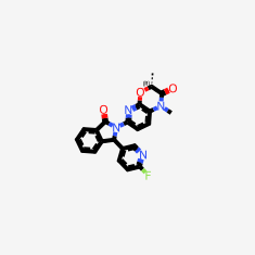 C[C@H]1Oc2nc(N3C(=O)c4ccccc4C3c3ccc(F)nc3)ccc2N(C)C1=O